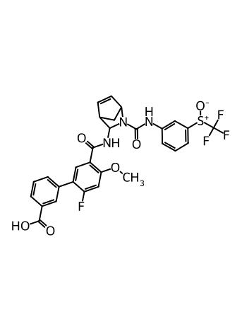 COc1cc(F)c(-c2cccc(C(=O)O)c2)cc1C(=O)NC1C2C=CC(C2)N1C(=O)Nc1cccc([S+]([O-])C(F)(F)F)c1